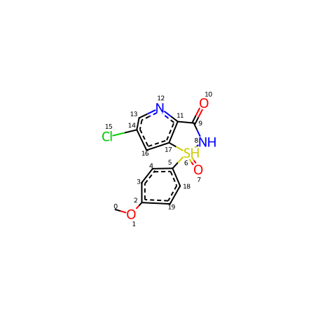 COc1ccc([SH]2(=O)NC(=O)c3ncc(Cl)cc32)cc1